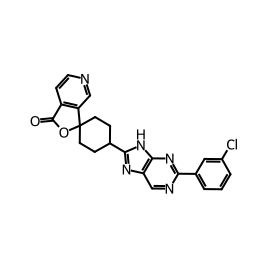 O=C1OC2(CCC(c3nc4cnc(-c5cccc(Cl)c5)nc4[nH]3)CC2)c2cnccc21